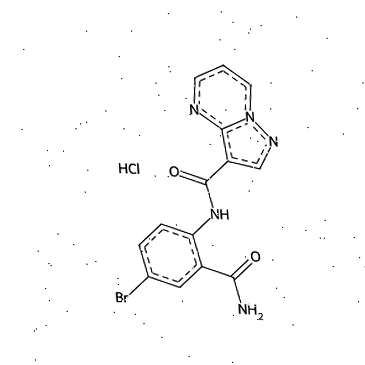 Cl.NC(=O)c1cc(Br)ccc1NC(=O)c1cnn2cccnc12